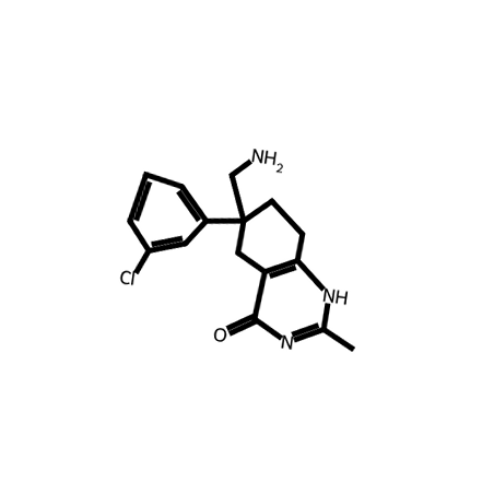 Cc1nc(=O)c2c([nH]1)CCC(CN)(c1cccc(Cl)c1)C2